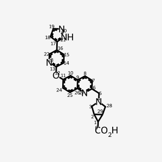 O=C(O)C1C2CN(Cc3ccc4cc(Oc5ccc(-c6ccn[nH]6)cn5)ccc4n3)CC21